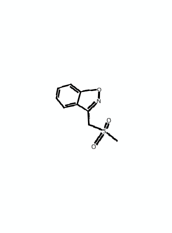 CS(=O)(=O)Cc1noc2ccccc12